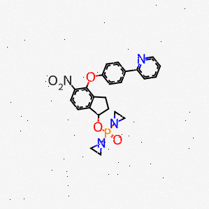 O=[N+]([O-])c1ccc2c(c1Oc1ccc(-c3ccccn3)cc1)CCC2OP(=O)(N1CC1)N1CC1